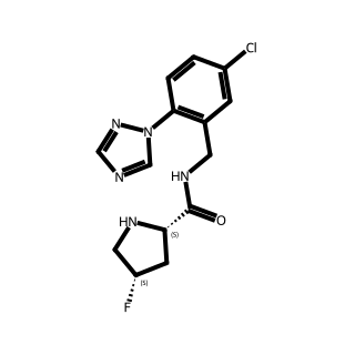 O=C(NCc1cc(Cl)ccc1-n1cncn1)[C@@H]1C[C@H](F)CN1